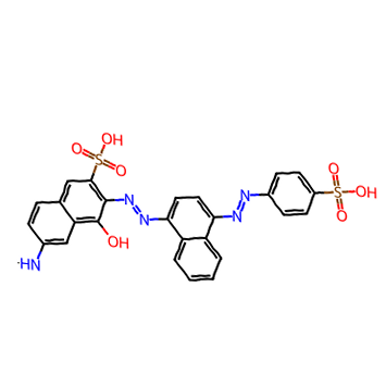 [NH]c1ccc2cc(S(=O)(=O)O)c(N=Nc3ccc(N=Nc4ccc(S(=O)(=O)O)cc4)c4ccccc34)c(O)c2c1